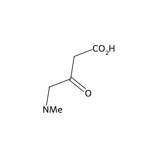 CNCC(=O)CC(=O)O